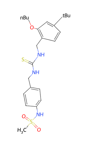 CCCCOc1cc(C(C)(C)C)ccc1CNC(=S)NCc1ccc(NS(C)(=O)=O)cc1